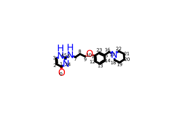 O=c1cc[nH]c(NCCCOc2cccc(CN3CCCCC3)c2)n1